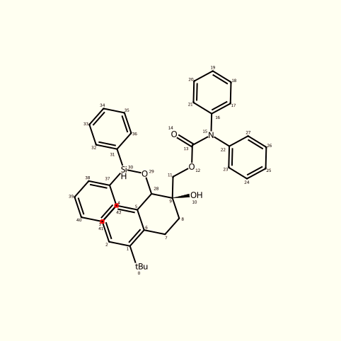 CC(C)(C)c1cccc2c1CC[C@@](O)(COC(=O)N(c1ccccc1)c1ccccc1)C2O[SiH](c1ccccc1)c1ccccc1